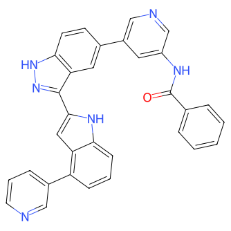 O=C(Nc1cncc(-c2ccc3[nH]nc(-c4cc5c(-c6cccnc6)cccc5[nH]4)c3c2)c1)c1ccccc1